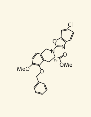 COC(=O)[C@@H]1Cc2c(ccc(OC)c2OCc2ccccc2)CN1c1nc2ccc(Cl)cc2o1